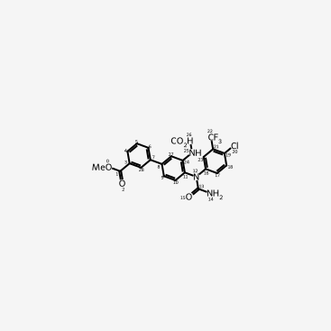 COC(=O)c1cccc(-c2ccc(N(C(N)=O)c3ccc(Cl)c(C(F)(F)F)c3)c(NC(=O)O)c2)c1